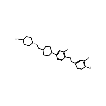 CCC[C@H]1CC[C@H](CCC2CCC(c3ccc(CCc4ccc(Cl)c(F)c4)c(F)c3)CC2)CC1